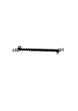 O=C(O)CCCCCCCCCCCCCCCCCCCCCCCCCCCCCCCCC(=S)S